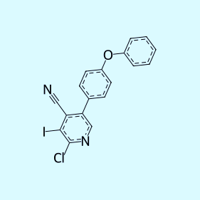 N#Cc1c(-c2ccc(Oc3ccccc3)cc2)cnc(Cl)c1I